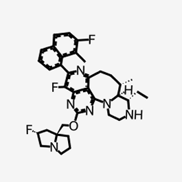 CC[C@@H]1NCCN2c3nc(OC[C@@]45CCCN4C[C@H](F)C5)nc4c(F)c(-c5cccc6ccc(F)c(C)c56)nc(c34)CC[C@H](C)[C@@H]12